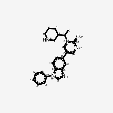 CC(C1CCCNC1)n1cc(-c2ccc3c(c2)ncn3-c2ccccc2)cnc1=O